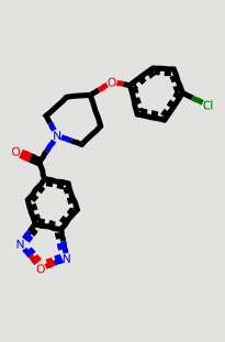 O=C(c1ccc2nonc2c1)N1CCC(Oc2ccc(Cl)cc2)CC1